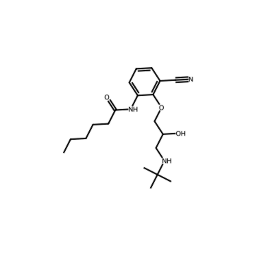 CCCCCC(=O)Nc1cccc(C#N)c1OCC(O)CNC(C)(C)C